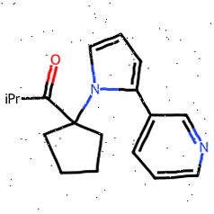 CC(C)C(=O)C1(n2cccc2-c2cccnc2)CCCC1